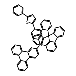 c1ccc(-c2ccc(-c3ccc(N(c4ccc5c6ccccc6c6ccccc6c5c4)c4cccc5c4C4(c6ccccc6-c6ccccc64)c4ccccc4-5)cc3)s2)cc1